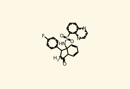 NC(=O)C1C=CC=CC1(NS(=O)(=O)c1cccc2nccnc12)C(CF)c1ccc(F)cc1